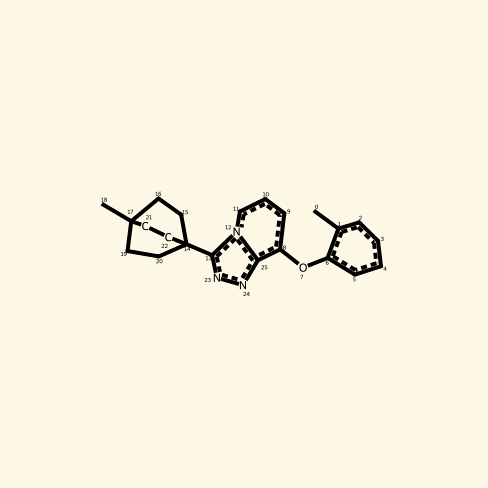 Cc1ccccc1Oc1cccn2c(C34CCC(C)(CC3)CC4)nnc12